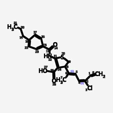 C=C/C(Cl)=C\C=C(/C)C1CSC(NC(=O)c2ccc(CCC)cc2)=C1C(=O)O